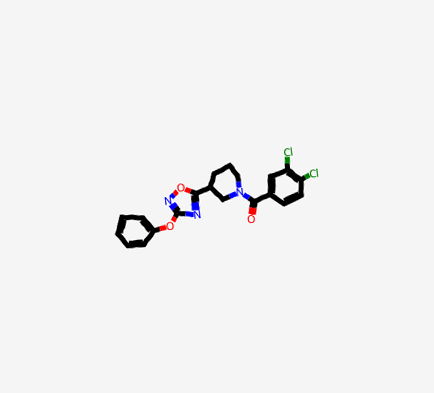 O=C(c1ccc(Cl)c(Cl)c1)N1CCCC(c2nc(Oc3ccccc3)no2)C1